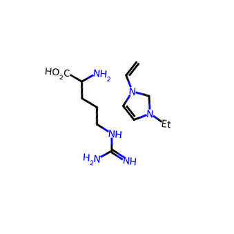 C=CN1C=CN(CC)C1.N=C(N)NCCCC(N)C(=O)O